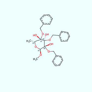 CO[C@H]1O[C@H](C)[C@](O)(OCc2ccccc2)[C@@](O)(OCc2ccccc2)[C@]1(O)OCc1ccccc1